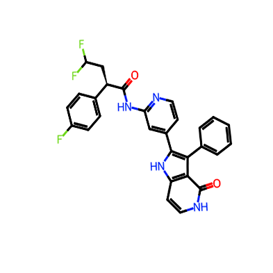 O=C(Nc1cc(-c2[nH]c3cc[nH]c(=O)c3c2-c2ccccc2)ccn1)[C@H](CC(F)F)c1ccc(F)cc1